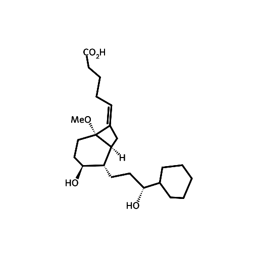 CO[C@@]12CC[C@H](O)[C@@H](CC[C@@H](O)C3CCCCC3)[C@@H]1C/C2=C/CCCC(=O)O